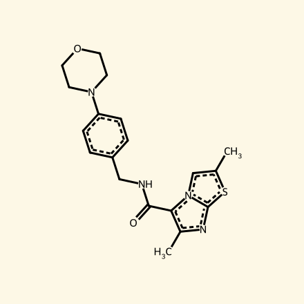 Cc1cn2c(C(=O)NCc3ccc(N4CCOCC4)cc3)c(C)nc2s1